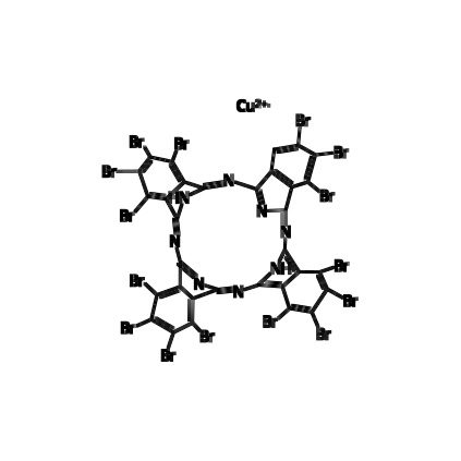 Brc1cc2c(c(Br)c1Br)-c1nc-2nc2[nH]c(nc3nc(nc4[nH]c(n1)c1c(Br)c(Br)c(Br)c(Br)c41)-c1c(Br)c(Br)c(Br)c(Br)c1-3)c1c(Br)c(Br)c(Br)c(Br)c21.[Cu+2]